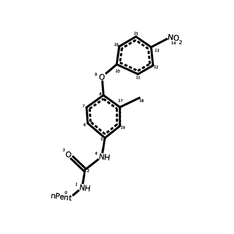 CCCCCNC(=O)Nc1ccc(Oc2ccc([N+](=O)[O-])cc2)c(C)c1